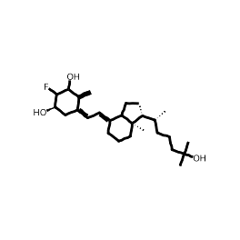 C=C1/C(=C\C=C2CCC[C@@]3(C)C2CC[C@@H]3[C@H](C)CCCC(C)(C)O)C[C@@H](O)C(F)C1O